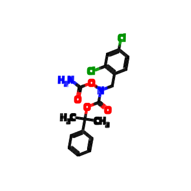 CC(C)(OC(=O)N(Cc1ccc(Cl)cc1Cl)OC(N)=O)c1ccccc1